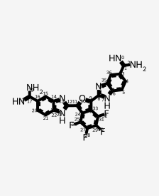 N=C(N)c1ccc2[nH]c(-c3oc(-c4nc5cc(C(=N)N)ccc5[nH]4)c4c(F)c(F)c(F)c(F)c34)nc2c1